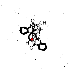 C[C@@H]1N[C@H]2N(C1=O)c1ccccc1[C@]21C[C@H]2C(=O)N[C@@H]1c1nc3ccccc3c(=O)n12